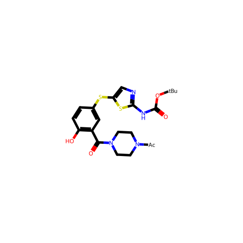 CC(=O)N1CCN(C(=O)c2cc(Sc3cnc(NC(=O)OC(C)(C)C)s3)ccc2O)CC1